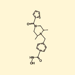 CC1CN(C(=O)c2cccs2)CC(C)N1Cc1ccc(C(=O)NO)cc1